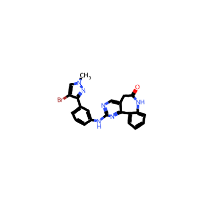 Cn1cc(Br)c(-c2cccc(Nc3ncc4c(n3)-c3ccccc3NC(=O)C4)c2)n1